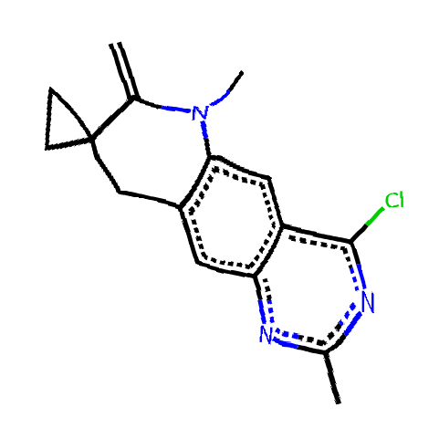 C=C1N(C)c2cc3c(Cl)nc(C)nc3cc2CC12CC2